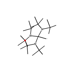 [CH2]C(N(C(C)(C)C)C(C)(C)C)(N(C(C)(C)C)C(C)(C)C)N(C(C)(C)C)C(C)(C)C